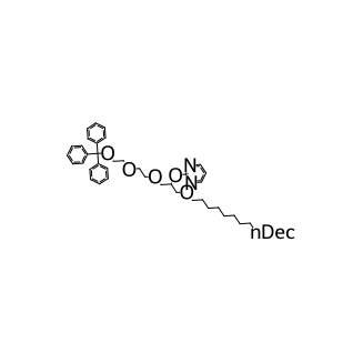 CCCCCCCCCCCCCCCCCCOCC(COCCOCCOC(c1ccccc1)(c1ccccc1)c1ccccc1)Oc1ncccn1